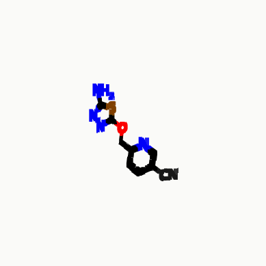 N#Cc1ccc(COc2nnc(N)s2)nc1